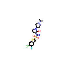 CC(C)N1CCC(N2CCCC(NS(=O)(=O)c3cc4cc(F)c(Cl)cc4s3)C2=O)CC1